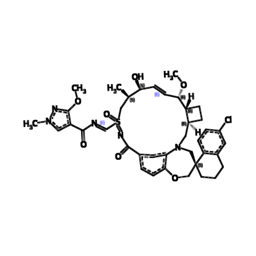 COc1nn(C)cc1C(=O)/N=C/S1(=O)=NC(=O)c2ccc3c(c2)N(C[C@@H]2CC[C@H]2[C@@H](OC)/C=C/[C@H](O)[C@H](C)C1)C[C@@]1(CCCc2cc(Cl)ccc21)CO3